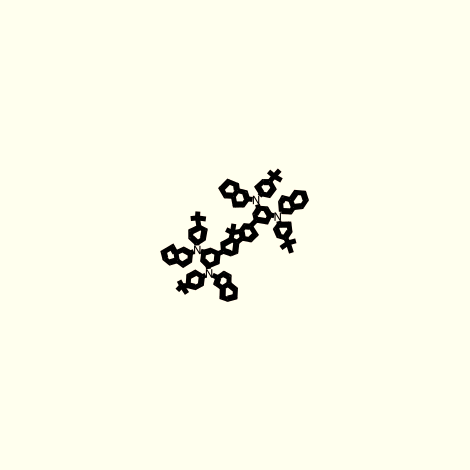 CC(C)(C)c1ccc(N(c2cc(-c3ccc4c(c3)C(C)(C)c3cc(-c5cc(N(c6ccc(C(C)(C)C)cc6)c6ccc7ccccc7c6)cc(N(c6ccc(C(C)(C)C)cc6)c6ccc7ccccc7c6)c5)ccc3-4)cc(N(c3ccc(C(C)(C)C)cc3)c3ccc4ccccc4c3)c2)c2ccc3ccccc3c2)cc1